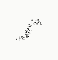 CCOC(=O)CC(=O)c1ccc(OCCC(C)CCC=C(C)C)s1